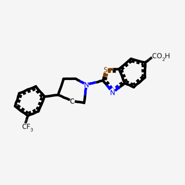 O=C(O)c1ccc2nc(N3CCC(c4cccc(C(F)(F)F)c4)CC3)sc2c1